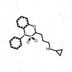 O=S1(=O)C(CCCNC2CC2)Oc2ccccc2N1c1ccccc1